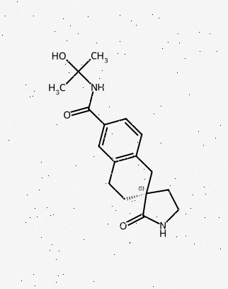 CC(C)(O)NC(=O)c1ccc2c(c1)CC[C@@]1(CCNC1=O)C2